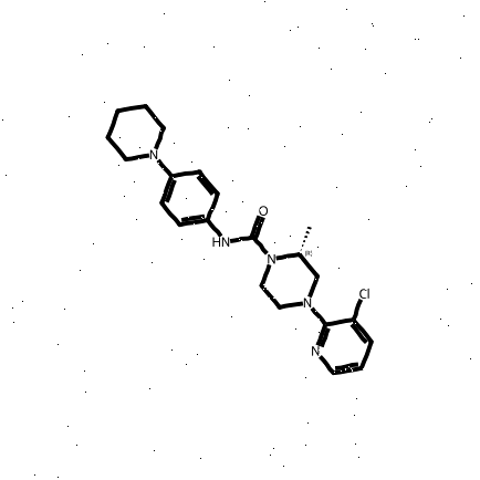 C[C@@H]1CN(c2ncccc2Cl)CCN1C(=O)Nc1ccc(N2CCCCC2)cc1